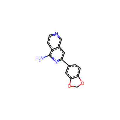 Nc1nc(-c2ccc3c(c2)OCO3)cc2cnccc12